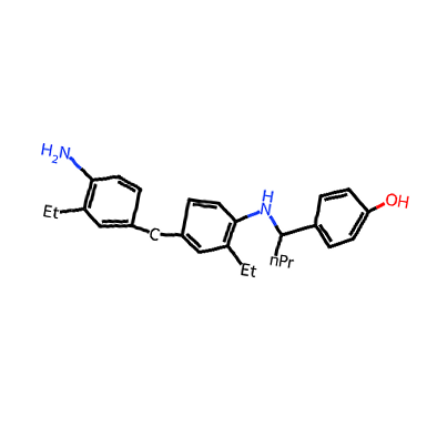 CCCC(Nc1ccc(Cc2ccc(N)c(CC)c2)cc1CC)c1ccc(O)cc1